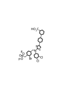 O=C(O)c1cccc(-c2ccc(-c3csc(N(Cc4ccc(CP(=O)(OF)OF)c(Br)c4)c4ccc(Cl)c(Cl)c4)n3)cc2)c1